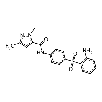 Cn1nc(C(F)(F)F)cc1C(=O)Nc1ccc(S(=O)(=O)c2ccccc2N)cc1